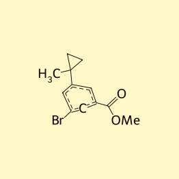 COC(=O)c1cc(Br)cc(C2(C)CC2)c1